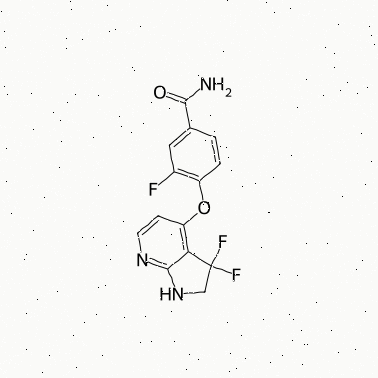 NC(=O)c1ccc(Oc2ccnc3c2C(F)(F)CN3)c(F)c1